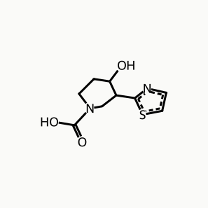 O=C(O)N1CCC(O)C(c2nccs2)C1